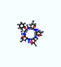 CC(C)C[C@@H]1NC(=O)[C@H](CC(C)C)N(C)C(=O)[C@H](CC(C)C)NC(=O)[C@H](CC(C)C)N(C)C(=O)[C@@H](Cc2ccccc2)NC1=O